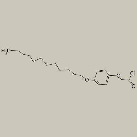 CCCCCCCCCCCCOc1ccc(OCC(=O)Cl)cc1